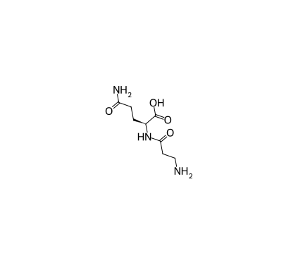 NCCC(=O)N[C@@H](CCC(N)=O)C(=O)O